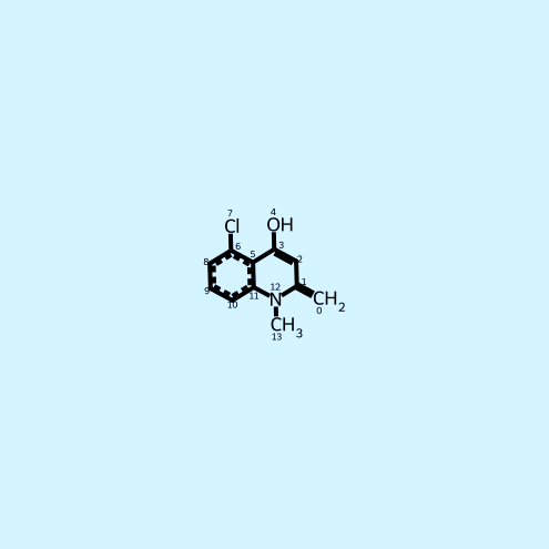 C=C1C=C(O)c2c(Cl)cccc2N1C